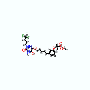 CCOC(=O)C(C)(C)Oc1cccc(CCCCCOc2nn(CCCC(F)(F)F)c(=O)n(C)c2=O)c1